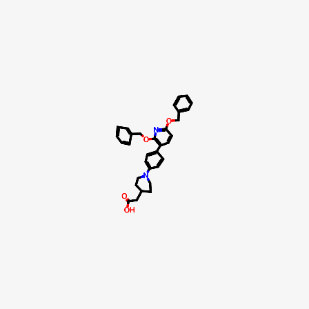 O=C(O)CC1CCN(c2ccc(-c3ccc(OCc4ccccc4)nc3OCc3ccccc3)cc2)CC1